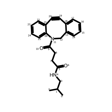 CC(C)CNC(=O)CCC(=O)N1Cc2ccccc2C#Cc2ccccc21